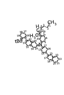 C/C=C\C=C/C1Cc2ccc(N(c3ccc(-c4ccc5ccccc5c4)cc3)c3ccc4ccc(-c5ccccc5C(C)(C)C)cc4c3)cc2C1(C)C